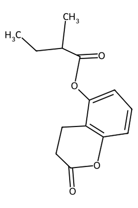 CCC(C)C(=O)Oc1cccc2c1CCC(=O)O2